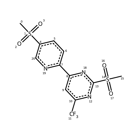 CS(=O)(=O)c1ccc(-c2cc(C(F)(F)F)nc(S(C)(=O)=O)n2)nc1